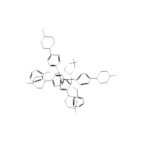 CC1CCC(c2ccc(C(OCc3ccccc3)(c3ccc(C4CCC(CN)CC4)cc3)[C@@H]3OC(C)(C)O[C@H]3C(OCc3ccccc3)(c3ccc(C4CCC(N)CC4)cc3)c3ccc(C4CCC(N)CC4)cc3)cc2)CC1